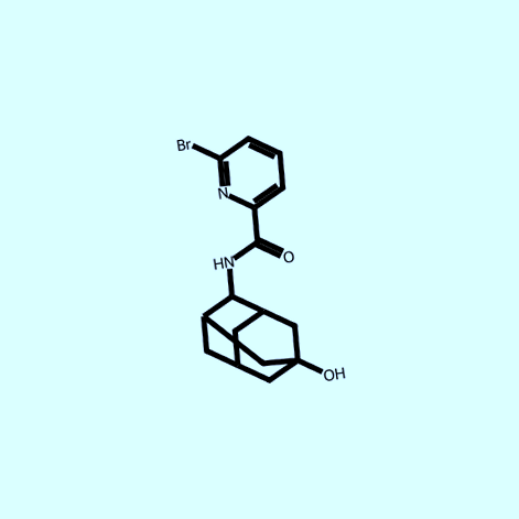 O=C(NC1C2CC3CC1CC(O)(C3)C2)c1cccc(Br)n1